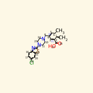 C=C/C(=C\C(=C/CC)CN1CCN(c2nc3ccc(Cl)cc3s2)CC1)C(=O)O